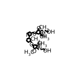 COc1cc(OCc2ccnc(-c3cccc(COc4cc(OC)c(CNCCO)c(OC)c4)c3C)c2)cc(OC)c1CNCCO